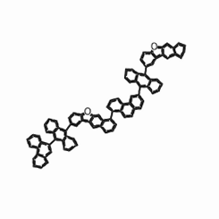 c1ccc2cc3c(cc2c1)oc1ccc(-c2c4ccccc4c(-c4ccc5ccc6c(-c7cccc8cc9c(cc78)oc7ccc(-c8c%10ccccc%10c(-c%10cc%11ccccc%11c%11ccccc%10%11)c%10ccccc8%10)cc79)cccc6c5c4)c4ccccc24)cc13